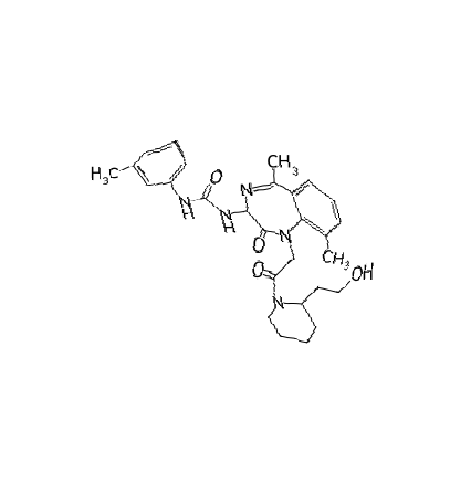 CC1=NC(NC(=O)Nc2cccc(C)c2)C(=O)N(CC(=O)N2CCCCC2CCO)c2c(C)cccc21